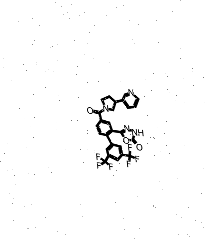 O=C(c1ccc(-c2cc(C(F)(F)F)cc(C(F)(F)F)c2)c(-c2n[nH]c(=O)o2)c1)N1CCC(c2cccnc2)C1